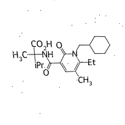 CCc1c(C)cc(C(=O)NC(C)(C(=O)O)C(C)C)c(=O)n1CC1CCCCC1